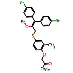 CCOC(CSc1ccc(OCC(=O)OC)c(C)c1)=C(c1ccc(Br)cc1)c1ccc(Br)cc1